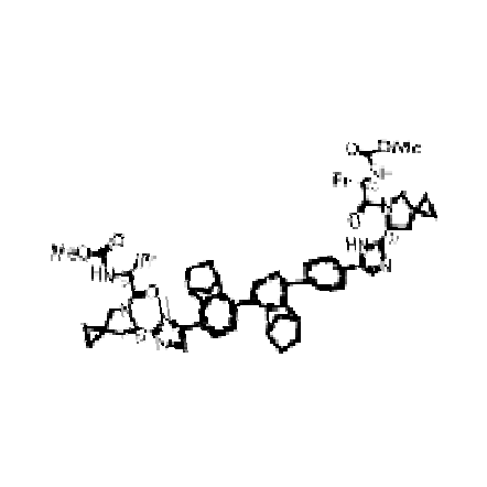 COC(=O)N[C@H](C(=O)N1CC2(CC2)C[C@H]1c1ncc(-c2ccc(-c3ccc(-c4ccc(-c5cnc([C@@H]6CC7(CC7)CN6C(=O)[C@@H](NC(=O)OC)C(C)C)[nH]5)c5c4C4CCC5C4)c4c3C3CCC4C3)cc2)[nH]1)C(C)C